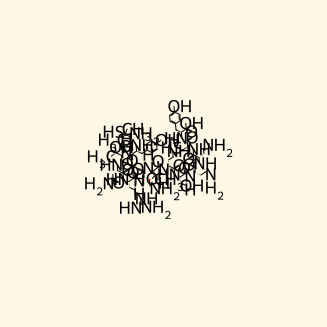 C[C@@H](O)[C@H](NC(=O)[C@H](Cc1ccc(O)cc1)NC(=O)[C@@H](N)C(C)(C)S)C(=O)N[C@@H](CC(N)=O)C(=O)N[C@@H](CCCNC(=N)N)C(=O)N[C@@H](CCN)C(=O)N[C@H](C(=O)N[C@H](CCN)C(=O)N[C@@H](CO)C(=O)N[C@@H](CCN)C(=O)N[C@@H](CCN)C(=O)N[C@@H](CS)C(=O)N[C@@H](Cc1ccc(O)cc1)C(=O)O)[C@@H](C)O